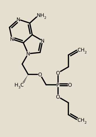 C=CCOP(=O)(CO[C@H](C)Cn1cnc2c(N)ncnc21)OCC=C